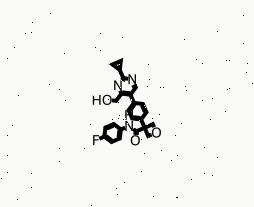 O=C(Nc1ccc(F)cc1)C1(c2ccc(-c3cnc(C4CC4)nc3CO)cc2)COC1